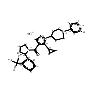 Cl.O=C(c1cnn(C2CCN(c3cnccn3)CC2)c1C1CC1)N1CCCC1c1ccccc1C(F)(F)F